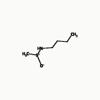 CCCCN[S+](C)[O-]